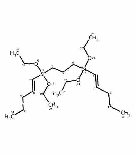 CCCC=C[Si](CCC[Si](C=CCCC)(OCC)OCC)(OCC)OCC